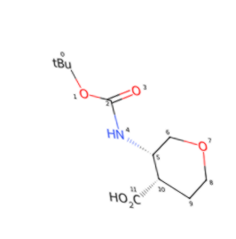 CC(C)(C)OC(=O)N[C@@H]1COCC[C@@H]1C(=O)O